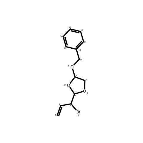 C=CC(Br)C1OCC(OCc2ccccc2)O1